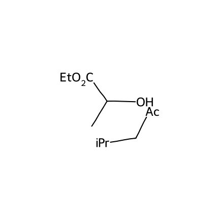 CC(=O)CC(C)C.CCOC(=O)C(C)O